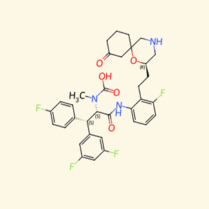 CN(C(=O)O)[C@H](C(=O)Nc1cccc(F)c1CC[C@@H]1CNCC2(CCCC(=O)C2)O1)[C@@H](c1ccc(F)cc1)c1cc(F)cc(F)c1